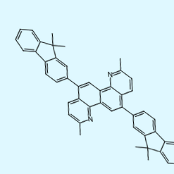 Cc1ccc2c(-c3ccc4c(c3)C(C)(C)c3ccccc3-4)cc3c(cc(-c4ccc5c(c4)C(C)(C)c4ccccc4-5)c4ccc(C)nc43)c2n1